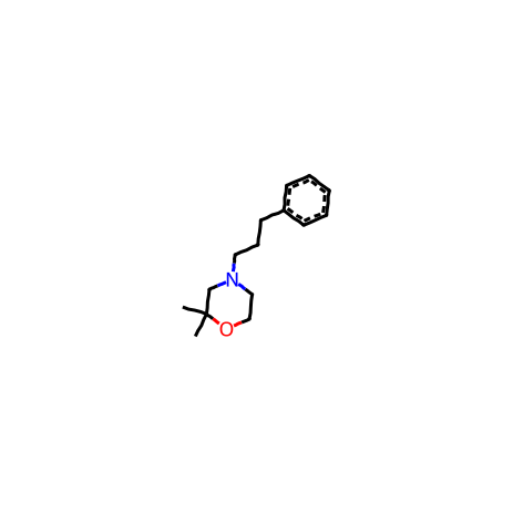 CC1(C)CN(CCCc2ccccc2)CCO1